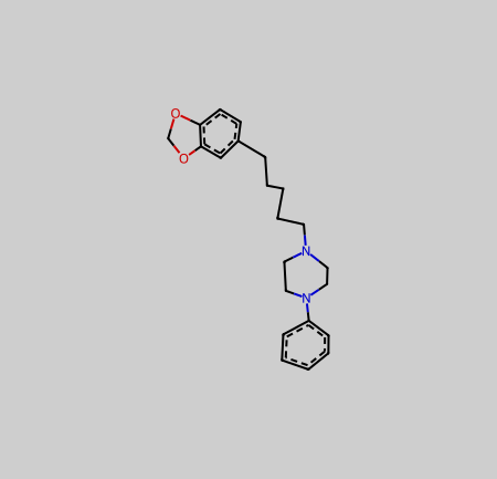 c1ccc(N2CCN(CCCCCc3ccc4c(c3)OCO4)CC2)cc1